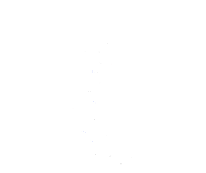 CCOc1ccc(C(=O)NCCNC(=O)c2cc(-c3ccccc3)n(C)n2)cc1